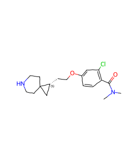 CN(C)C(=O)c1ccc(OCC[C@@H]2CC23CCNCC3)cc1Cl